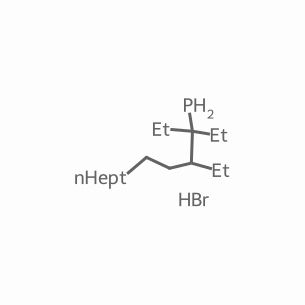 Br.CCCCCCCCCC(CC)C(P)(CC)CC